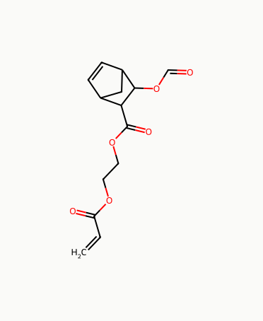 C=CC(=O)OCCOC(=O)C1C2C=CC(C2)C1OC=O